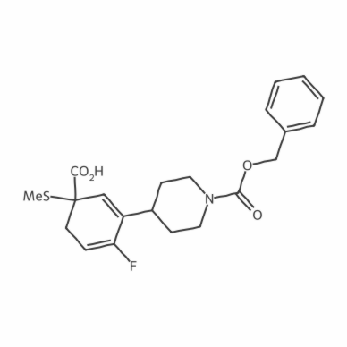 CSC1(C(=O)O)C=C(C2CCN(C(=O)OCc3ccccc3)CC2)C(F)=CC1